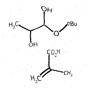 C=C(C)C(=O)O.CCCCOC(O)C(C)O